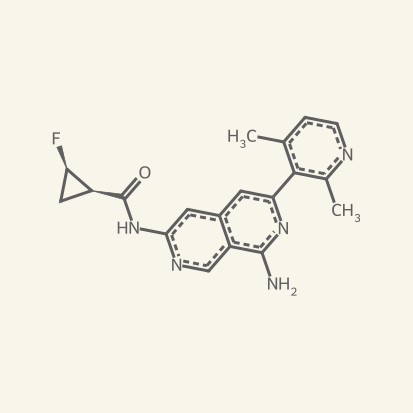 Cc1ccnc(C)c1-c1cc2cc(NC(=O)[C@H]3C[C@H]3F)ncc2c(N)n1